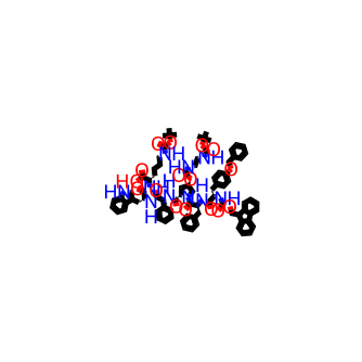 CC(C)(C)OC(=O)NCCCC[C@H](NC(=O)[C@@H](Cc1c[nH]c2ccccc12)NC(=O)[C@@H](NC(=O)[C@@H]1C[C@@H](OC(=O)NCCNC(=O)OC(C)(C)C)CN1C(=O)[C@H](Cc1ccccc1)NC(=O)[C@H](Cc1ccc(OCc2ccccc2)cc1)NC(=O)OCC1c2ccccc2-c2ccccc21)c1ccccc1)C(=O)O